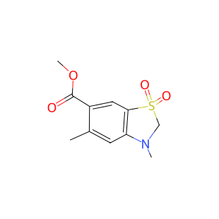 COC(=O)c1cc2c(cc1C)N(C)CS2(=O)=O